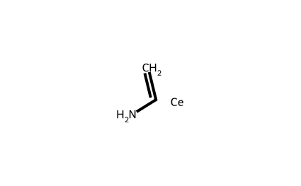 C=CN.[Ce]